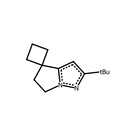 CC(C)(C)c1cc2n(n1)CCC21CCC1